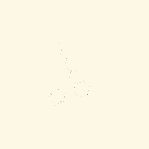 C=CCCOC(=O)OC1CCCC[C@@H]1c1ccccc1